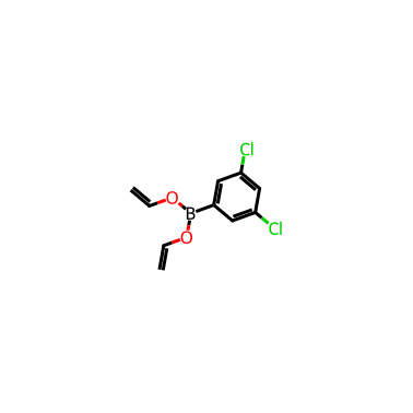 C=COB(OC=C)c1cc(Cl)cc(Cl)c1